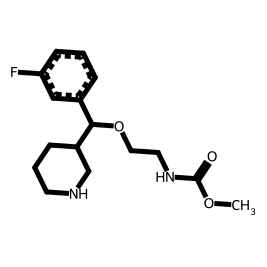 COC(=O)NCCOC(c1cccc(F)c1)C1CCCNC1